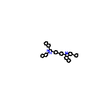 c1ccc(-c2ccc3nc(-c4ccc(-c5ccc(-c6cc(-c7ccc8ccccc8c7)nc(-c7ccc8ccccc8c7)n6)cc5)cc4)c4ccc5ccccc5c4c3c2)cc1